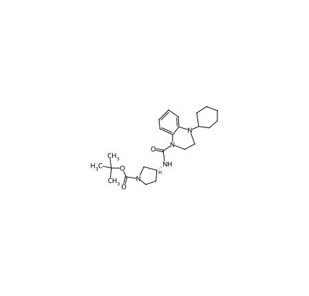 CC(C)(C)OC(=O)N1CC[C@@H](NC(=O)N2CCN(C3CCCCC3)c3ccccc32)C1